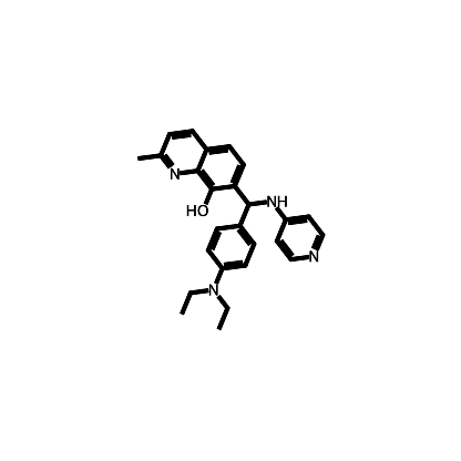 CCN(CC)c1ccc(C(Nc2ccncc2)c2ccc3ccc(C)nc3c2O)cc1